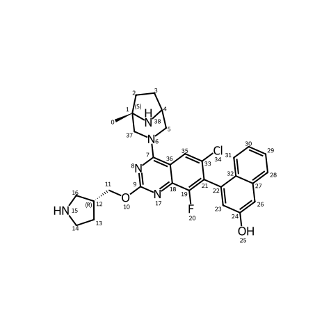 C[C@]12CCC(CN(c3nc(OC[C@@H]4CCNC4)nc4c(F)c(-c5cc(O)cc6ccccc56)c(Cl)cc34)C1)N2